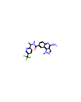 CC(c1ccc(C(F)(F)F)cn1)N(C)C(=O)c1ccc2nc(N)c3cnn(C)c3c2c1